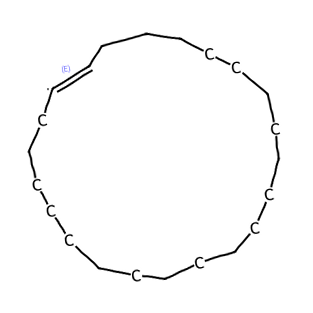 [C]1=C/CCCCCCCCCCCCCCCCCCCC/1